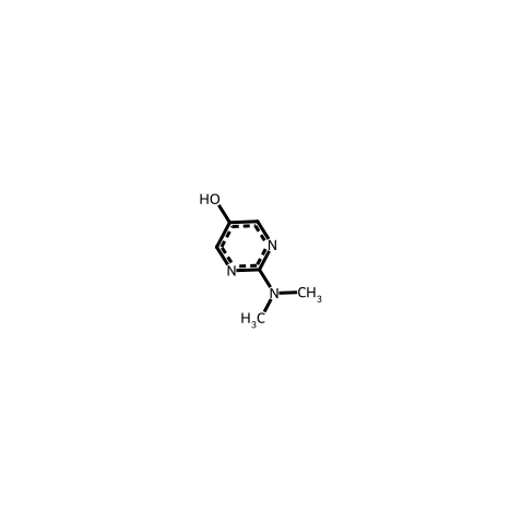 CN(C)c1ncc(O)cn1